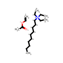 C=COC(C)=O.CCCCCCCCCC[N+](CC)(CC)CC